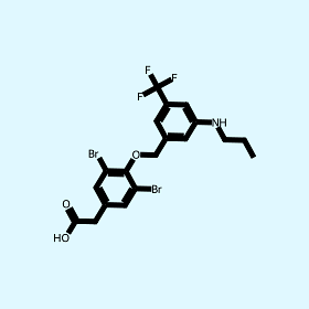 CCCNc1cc(COc2c(Br)cc(CC(=O)O)cc2Br)cc(C(F)(F)F)c1